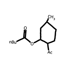 CCCCC(=O)OC1CC(C)CCC1C(C)=O